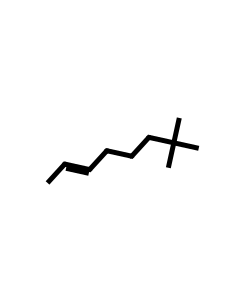 CC=CCCCC(C)(C)C